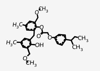 CCC(C)c1ccc(OCC(=O)Oc2c(COC)cc(C)cc2Cc2cc(C)cc(COC)c2O)cc1